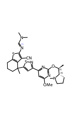 COc1cc(-c2cc(C3(C)CCCc4sc(/N=C/N(C)C)c(C#N)c43)sn2)nc(O[C@@H](C)[C@@H]2CCCN2C)n1